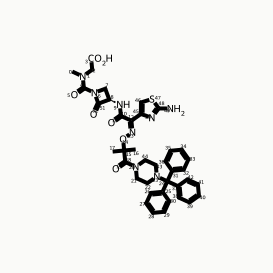 CN(CC(=O)O)C(=O)N1C[C@H](NC(=O)C(=NOC(C)(C)C(=O)N2CCN(C(c3ccccc3)(c3ccccc3)c3ccccc3)CC2)c2csc(N)n2)C1=O